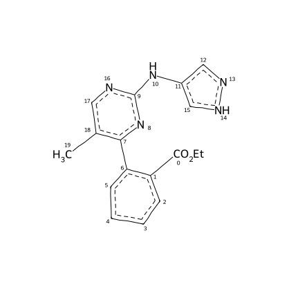 CCOC(=O)c1ccccc1-c1nc(Nc2cn[nH]c2)ncc1C